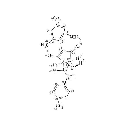 Cc1cc(C)c(C2=C(O)[C@@H]3[C@@H]4O[C@@H](C[C@H]4c4ccc(C(F)(F)F)cc4)[C@@H]3C2=O)c(C)c1